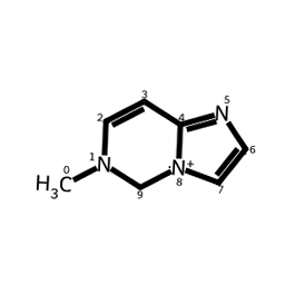 CN1C=CC2=N[C]=C[N+]2C1